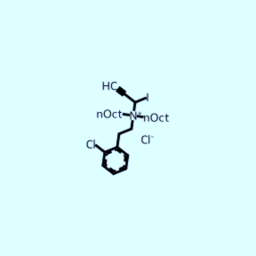 C#CC(I)[N+](CCCCCCCC)(CCCCCCCC)CCc1ccccc1Cl.[Cl-]